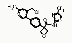 Cc1cc(CO)c(-c2ccc(C3(C(=O)Nc4nc(C(F)(F)F)co4)COC3)cc2)cn1